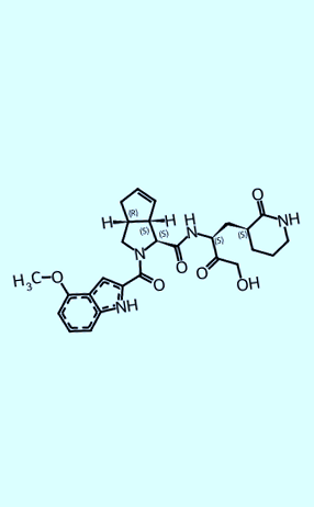 COc1cccc2[nH]c(C(=O)N3C[C@@H]4CC=C[C@@H]4[C@H]3C(=O)N[C@@H](C[C@@H]3CCCNC3=O)C(=O)CO)cc12